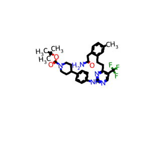 Cc1ccc(CC(N)=O)c(CCc2nc(Nc3ccc(C4CCN(C(=O)OC(C)(C)C)CC4)cc3)ncc2C(F)(F)F)c1